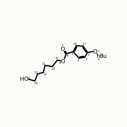 CCCCOc1ccc(C(=O)OCCCCCCO)cc1